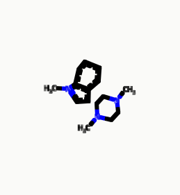 CN1CCN(C)CC1.Cn1ccc2ccccc21